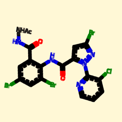 CC(=O)NNC(=O)c1cc(Br)cc(Br)c1NC(=O)c1cc(Br)nn1-c1ncccc1Cl